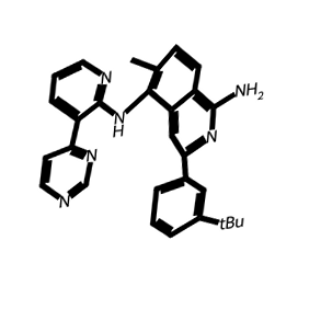 Cc1ccc2c(N)nc(-c3cccc(C(C)(C)C)c3)cc2c1Nc1ncccc1-c1ccncn1